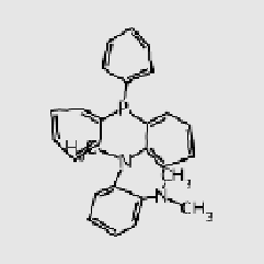 CN(C)c1ccccc1N(C)c1ccccc1P(c1ccccc1)c1ccccc1